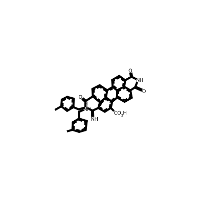 Cc1cccc(CNC(=N)c2cc(C(=O)O)c3c4ccc5c6c(ccc(c7ccc(C(=O)NCc8cccc(C)c8)c2c73)c64)C(=O)NC5=O)c1